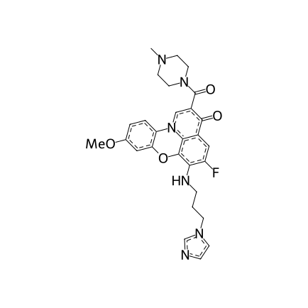 COc1ccc2c(c1)Oc1c(NCCCn3ccnc3)c(F)cc3c(=O)c(C(=O)N4CCN(C)CC4)cn-2c13